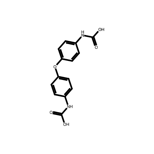 O=C(O)Nc1ccc(Oc2ccc(NC(=O)O)cc2)cc1